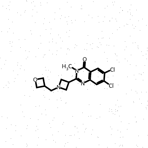 Cn1c(C2CN(CC3COC3)C2)nc2cc(Cl)c(Cl)cc2c1=O